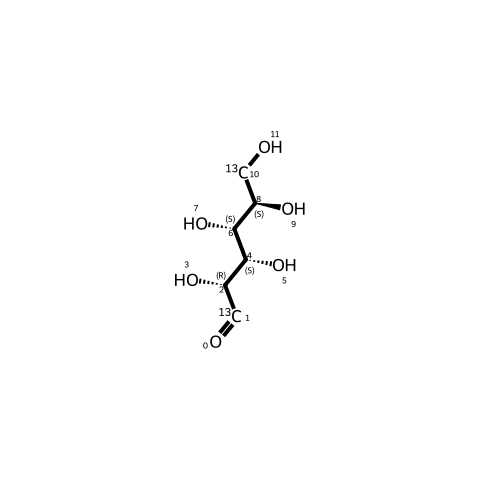 O=[13CH][C@H](O)[C@@H](O)[C@H](O)[C@H](O)[13CH2]O